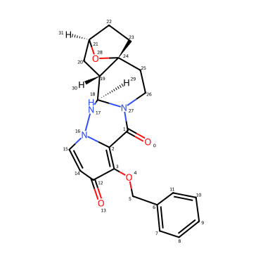 O=C1c2c(OCc3ccccc3)c(=O)ccn2N[C@H]2[C@@H]3C[C@H]4CC[C@]3(CCN12)O4